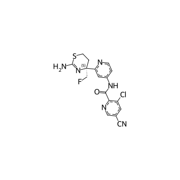 N#Cc1cnc(C(=O)Nc2ccnc([C@]3(CF)CCSC(N)=N3)c2)c(Cl)c1